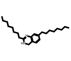 CCCCCCCCC1=Nc2cc(CCCCCCCC)ccc2CN1